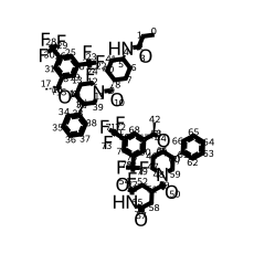 CCC(=O)N[C@H]1CC[C@H](C(=O)N2CC[C@H](O[C@H](C)c3cc(C(F)(F)F)cc(C(F)(F)F)c3)[C@H](c3ccccc3)C2)CC1.C[C@@H](O[C@H]1CCN(C(=O)C2CC(=O)NC(=O)C2)C[C@H]1c1ccccc1)c1cc(C(F)(F)F)cc(C(F)(F)F)c1